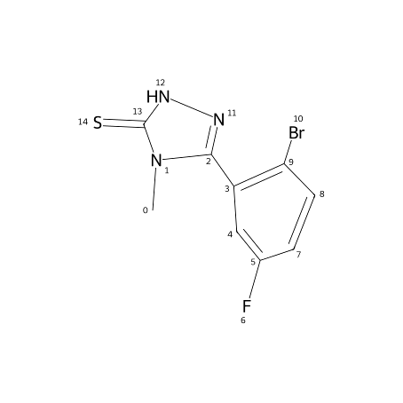 Cn1c(-c2cc(F)ccc2Br)n[nH]c1=S